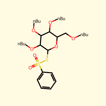 CCCCOCC1OC(SS(=O)(=O)c2ccccc2)C(OCCCC)C(OCCCC)C1OCCCC